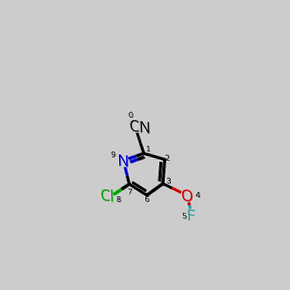 N#Cc1cc(OF)cc(Cl)n1